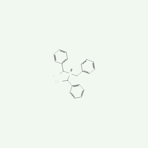 O=P(Cc1ccccc1)(C(O)c1ccccc1)C(O)c1ccccc1